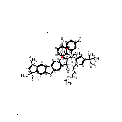 Cl.Cl.[CH2]=[Zr]([C]1=CC(C(C)(C)C)=CC1CCC)([C]1=C(C)c2cc3c(cc2C1(C)C)Cc1cc2c(cc1-3)C(C)=CC2(C)C)([c]1cccc(Cl)c1)[c]1cccc(Cl)c1